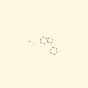 COc1ccccc1-c1c(C)n(C)c2ccc(OC(C)(C)C(=O)O)cc12